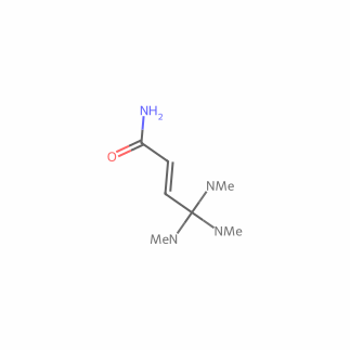 CNC(C=CC(N)=O)(NC)NC